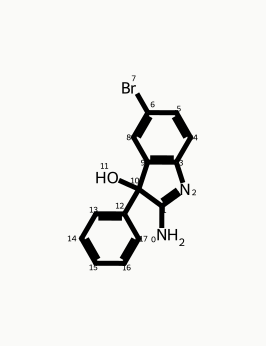 NC1=Nc2ccc(Br)cc2C1(O)c1ccccc1